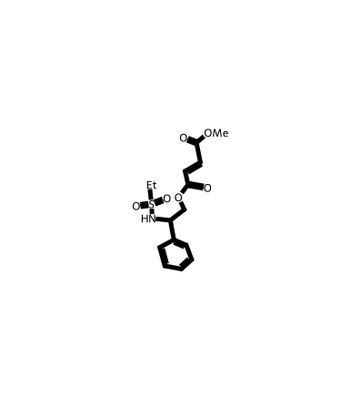 CCS(=O)(=O)NC(COC(=O)/C=C/C(=O)OC)c1ccccc1